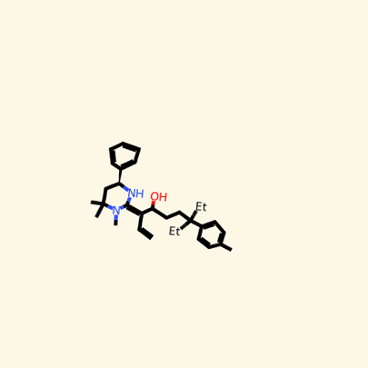 C=C/C(=C1/N[C@H](c2ccccc2)CC(C)(C)N1C)C(O)CCC(CC)(CC)c1ccc(C)cc1